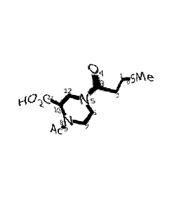 CSCCC(=O)N1CCN(C(C)=O)C(C(=O)O)C1